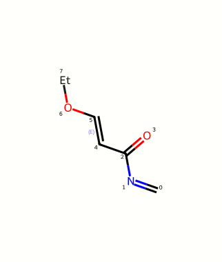 C=NC(=O)/C=C/OCC